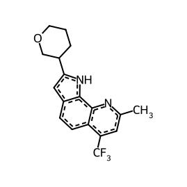 Cc1cc(C(F)(F)F)c2ccc3cc(C4CCCOC4)[nH]c3c2n1